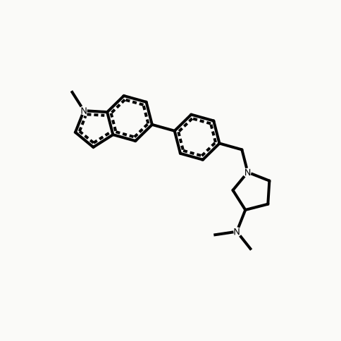 CN(C)C1CCN(Cc2ccc(-c3ccc4c(ccn4C)c3)cc2)C1